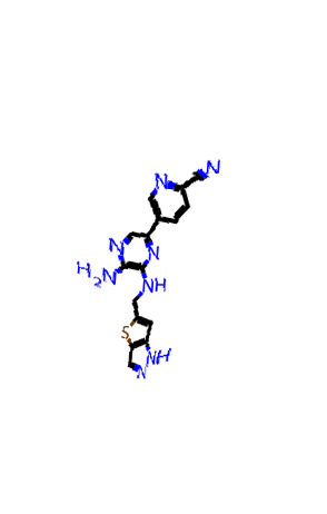 N#Cc1ccc(-c2cnc(N)c(NCc3cc4[nH]ncc4s3)n2)cn1